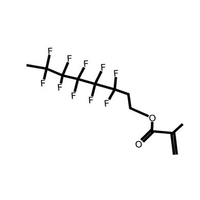 C=C(C)C(=O)OCCC(F)(F)C(F)(F)C(F)(F)C(F)(F)C(C)(F)F